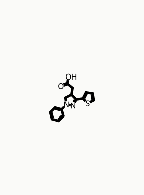 O=C(O)CC1CN(c2ccccc2)N=C1c1cccs1